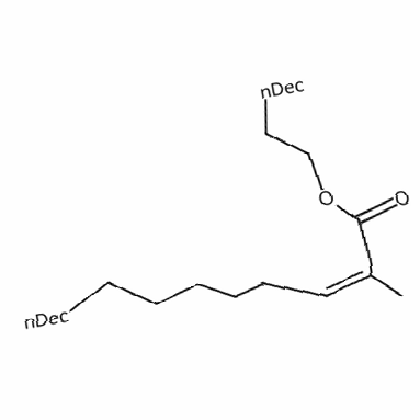 CCCCCCCCCCCCCCCC=C(C)C(=O)OCCCCCCCCCCCC